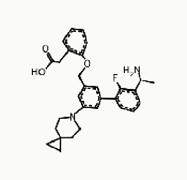 C[C@H](N)c1cccc(-c2cc(COc3ccccc3CC(=O)O)cc(N3CCC4(CC3)CC4)c2)c1F